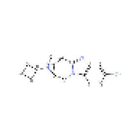 Clc1ccc2c(c1)nc1n2CC2CC1CN2C1CCC1